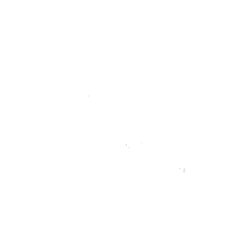 Fc1ccc(OC[C@H]2COCCO2)c(C2CCN([C@@H]3COC4(CNC4)C3)CC2)c1